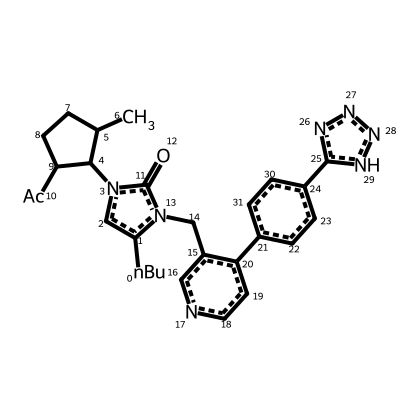 CCCCc1cn(C2C(C)CCC2C(C)=O)c(=O)n1Cc1cnccc1-c1ccc(-c2nnn[nH]2)cc1